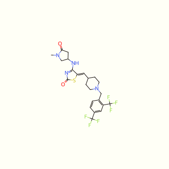 CN1CC(NC2=NC(=O)S/C2=C\C2CCN(Cc3ccc(C(F)(F)F)cc3C(F)(F)F)CC2)CC1=O